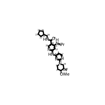 CO[C@H]1CCN(c2nccc(Nc3cc(NC(C)C)c(C(=O)NCC4CCCC4)cn3)n2)C[C@H]1F